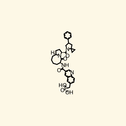 O=C(N[C@H]1CCCC[C@H]2CC[C@@H](C(=O)N3CC(c4ccccc4)CC34CC4)N2C1=O)c1cnc2ccc(CP(=O)(O)O)cc2c1